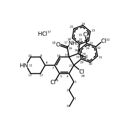 CCCCC1=C(Cl)C(C2CCNCC2)=CC(C(N)=O)(C(F)c2ccccc2)C1(Cl)c1ccc(Cl)c(Cl)c1.Cl